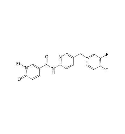 CCn1cc(C(=O)Nc2ccc(Cc3ccc(F)c(F)c3)cn2)ccc1=O